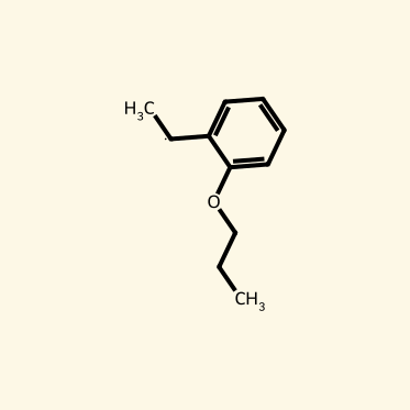 C[CH]c1ccccc1OCCC